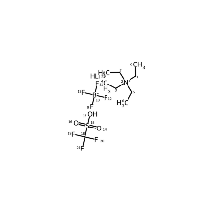 CC[N+](CC)(CC)CC.F[B-](F)(F)F.O=S(=O)(O)C(F)(F)F.[LiH]